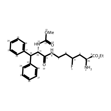 CCOC(=O)[C@@H](N)CC(F)CCNC(=O)[C@@H](NC(=O)OC)C(c1ccccc1)c1ccccc1